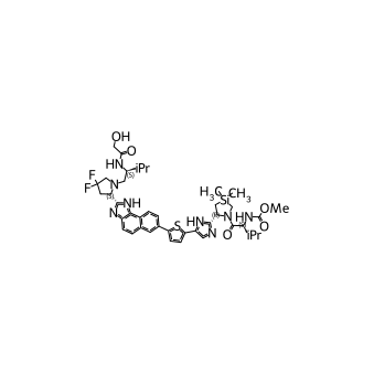 COC(=O)N[C@H](C(=O)N1C[Si](C)(C)C[C@H]1c1ncc(-c2ccc(-c3ccc4c(ccc5nc([C@@H]6CC(F)(F)CN6C[C@@H](NC(=O)CO)C(C)C)[nH]c54)c3)s2)[nH]1)C(C)C